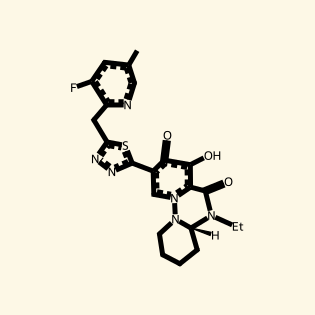 CCN1C(=O)c2c(O)c(=O)c(-c3nnc(Cc4ncc(C)cc4F)s3)cn2N2CCCC[C@@H]12